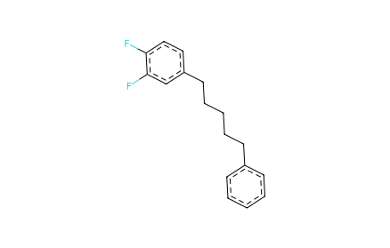 Fc1ccc(CCCCCc2ccccc2)cc1F